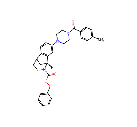 Cc1ccc(C(=O)N2CCN(c3ccc4c(c3)[C@H]3CC4CCN3C(=O)OCc3ccccc3)CC2)cc1